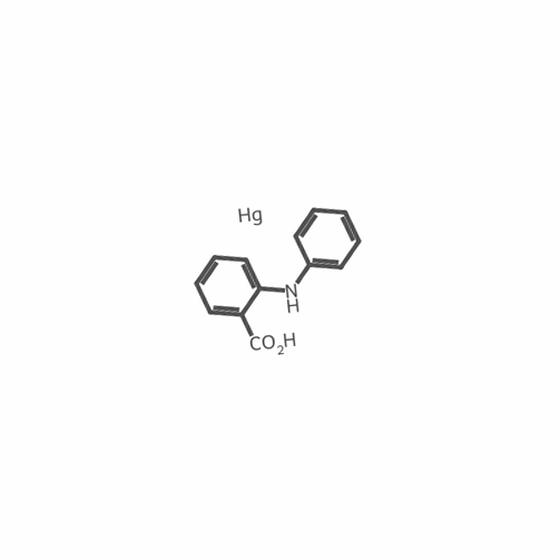 O=C(O)c1ccccc1Nc1ccccc1.[Hg]